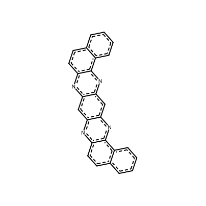 c1ccc2c(c1)ccc1nc3cc4nc5ccc6ccccc6c5nc4cc3nc12